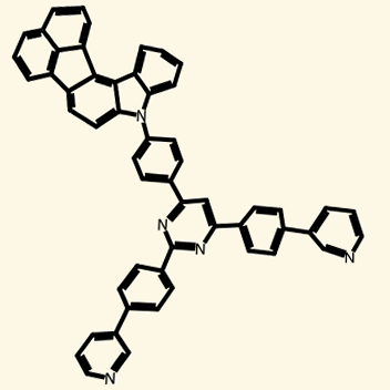 c1cncc(-c2ccc(-c3cc(-c4ccc(-n5c6ccccc6c6c7c(ccc65)-c5cccc6cccc-7c56)cc4)nc(-c4ccc(-c5cccnc5)cc4)n3)cc2)c1